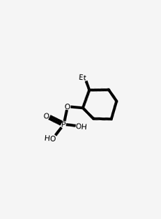 CCC1CCCCC1OP(=O)(O)O